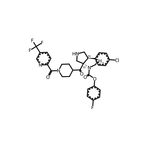 CCN(C(=O)Oc1ccc(F)cc1)[C@]1(C(=O)C2CCN(C(=O)c3ccc(C(F)(F)F)cn3)CC2)CNC[C@H]1c1ccc(Cl)cc1